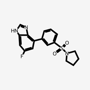 O=S(=O)(c1cccc(-c2cc(F)cc3[nH]cnc23)c1)N1CCCC1